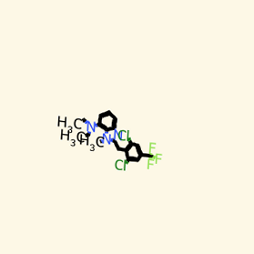 CCN(CC)c1cccc2nc(Cc3c(Cl)cc(C(F)(F)F)cc3Cl)n(C)c12